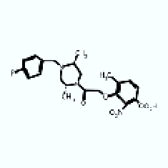 Cc1ccc(C(=O)O)c([N+](=O)[O-])c1OCC(=O)N1C[C@H](C)N(Cc2ccc(F)cc2)C[C@H]1C